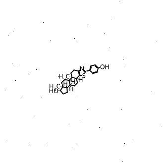 C[C@]12CCc3nc(-c4ccc(O)cc4)sc3[C@@H]1CC[C@@H]1[C@@H]2CC[C@]2(C)[C@@H](O)CC[C@@H]12